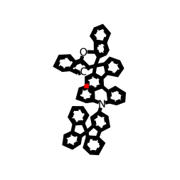 c1ccc(N(c2ccc3c(c2)C2(c4ccccc4-c4ccccc42)c2ccccc2-3)c2ccccc2-c2cccc3c2-c2ccccc2C32c3ccc4ccccc4c3Oc3c2ccc2ccccc32)cc1